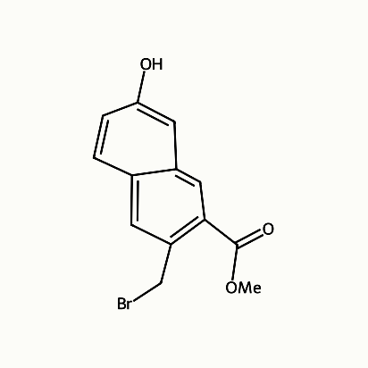 COC(=O)c1cc2cc(O)ccc2cc1CBr